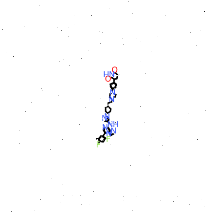 Cc1cc(-c2cnc(Nc3cnn([C@H]4CC[C@H](CCN5CCN(c6ccc(C7CCC(=O)NC7=O)cc6)CC5)CC4)c3)c3nccn23)c(F)cc1F